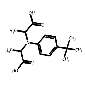 CC(C(=O)O)N(c1ccc(C(C)(C)C)cc1)C(C)C(=O)O